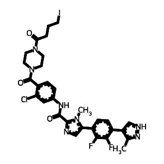 Cc1n[nH]cc1-c1ccc(-c2cnc(C(=O)Nc3ccc(C(=O)N4CCN(C(=O)CCCI)CC4)c(Cl)c3)n2C)c(F)c1F